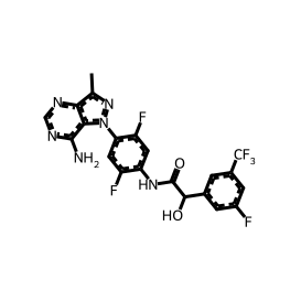 Cc1nn(-c2cc(F)c(NC(=O)C(O)c3cc(F)cc(C(F)(F)F)c3)cc2F)c2c(N)ncnc12